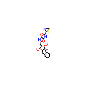 O=C1C(=Cc2nc3oc(-c4nccs4)nc3o2)C(=O)c2cc3ccccc3cc21